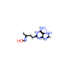 CC(CCc1nc(N)c2[nH]cnc2n1)=NO